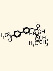 COC(=O)c1ccc(-c2ccc(C[C@H](NC(=O)OC(C)(C)C)C(=O)O)cc2)cc1